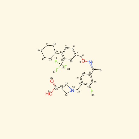 CC(=NOCc1ccc(C2CCCCC2)c(C(F)(F)F)c1)c1ccc(CN2CC(C(=O)O)C2)c(F)c1